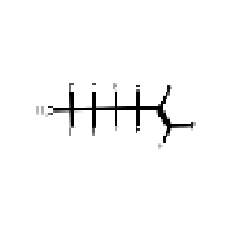 CC(F)(F)C(F)(F)C(F)(F)C(F)(F)C(F)=C(F)F